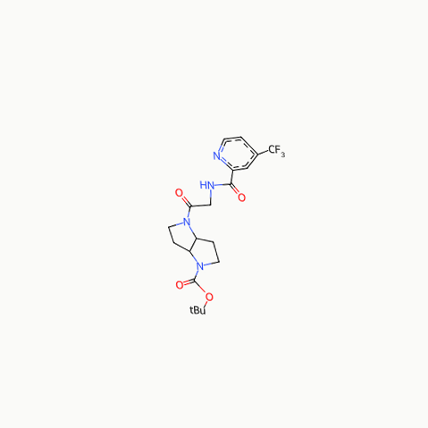 CC(C)(C)OC(=O)N1CCC2C1CCN2C(=O)CNC(=O)c1cc(C(F)(F)F)ccn1